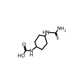 NC(=S)NC1CCC(NC(=O)O)CC1